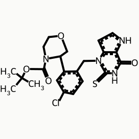 CC(C)(C)OC(=O)N1CCOCC1c1cc(Cl)ccc1Cn1c(=S)[nH]c(=O)c2[nH]ccc21